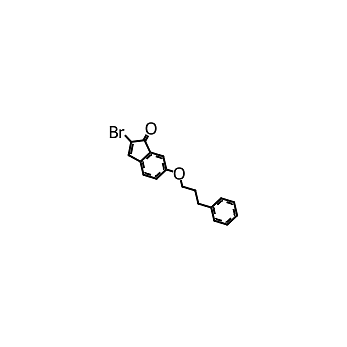 O=C1C(Br)=Cc2ccc(OCCCc3ccccc3)cc21